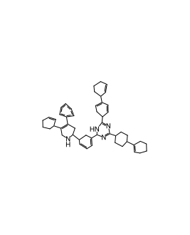 C1=CC(C2CC(c3ccccc3)=C(C3C=CCCC3)CN2)CC(C2N=C(C3CCC(C4=CCCCC4)CC3)N=C(C3C=CC(C4C=CCCC4)=CC3)N2)=C1